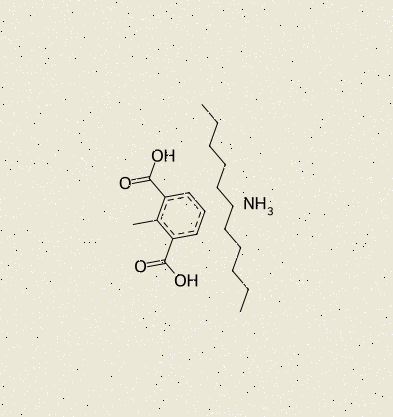 CCCCCCCCCCC.Cc1c(C(=O)O)cccc1C(=O)O.N